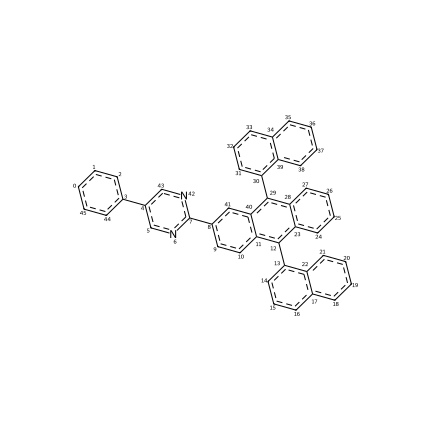 c1ccc(-c2cnc(-c3ccc4c(-c5cccc6ccccc56)c5ccccc5c(-c5cccc6ccccc56)c4c3)nc2)cc1